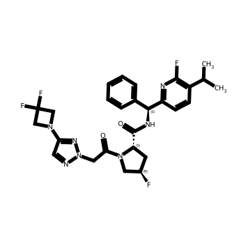 CC(C)c1ccc([C@@H](NC(=O)[C@@H]2C[C@@H](F)CN2C(=O)Cn2ncc(N3CC(F)(F)C3)n2)c2ccccc2)nc1F